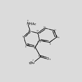 [CH2]C(=O)Nc1ccc(C(=O)C(C)(C)C)c2ccccc12